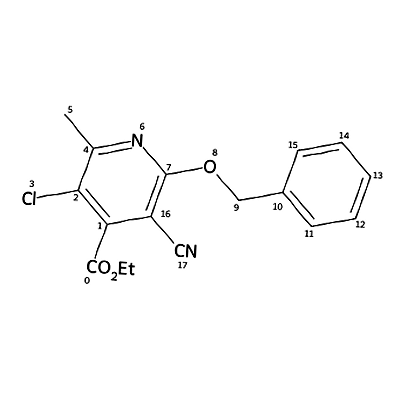 CCOC(=O)c1c(Cl)c(C)nc(OCc2ccccc2)c1C#N